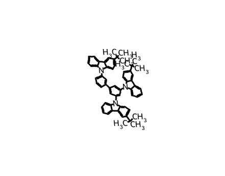 CC(C)(C)c1ccc2c(c1)c1ccccc1n2-c1cccc(-c2cc(-n3c4ccccc4c4cc(C(C)(C)C)ccc43)cc(-n3c4ccccc4c4cc(C(C)(C)C)ccc43)c2)c1